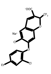 CCc1ccc(Oc2cc3c(cc2Cl)C=C(C(=O)[O-])C(C(F)(F)F)O3)c(Cl)c1.[Na+]